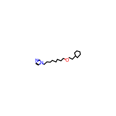 c1cn(CCCCCCCCOCCC2CCCCC2)cn1